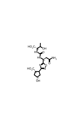 CC(O)[C@H](NC(=O)N[C@@H](CC(N)=O)c1nc(C2C[C@H](O)C[C@@H]2C(=O)O)no1)C(=O)O